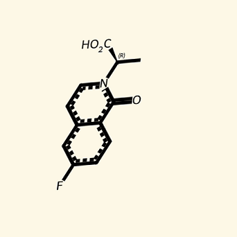 C[C@H](C(=O)O)n1ccc2cc(F)ccc2c1=O